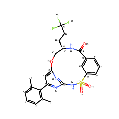 Cc1cccc(C)c1-c1cc2nc(n1)NS(=O)(=O)c1cccc(c1)C(=O)N[C@H](CCC(F)(F)F)CO2